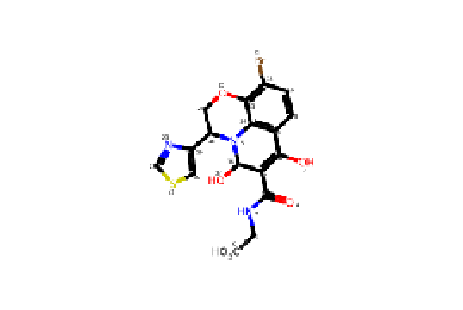 O=C(O)CNC(=O)C1=C(O)c2ccc(Br)c3c2N(C1O)C(c1cscn1)CO3